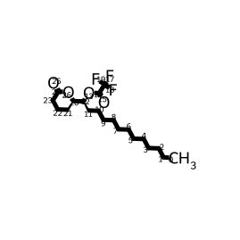 CCCCCCCCCCCC[C@H](OC(=O)C(F)(F)F)[C@H]1CCCC(=O)O1